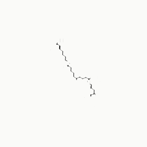 C=C(C)/C=C/CCCCNC(=C)CCCCC(C)CCCC(=C)NCCCC(=C)C(=C)C